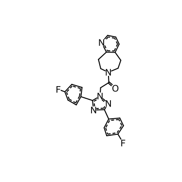 O=C(Cn1nc(-c2ccc(F)cc2)nc1-c1ccc(F)cc1)N1CCc2cccnc2CC1